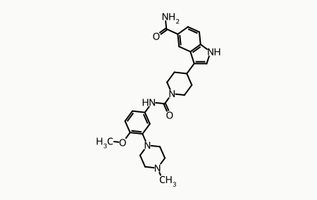 COc1ccc(NC(=O)N2CCC(c3c[nH]c4ccc(C(N)=O)cc34)CC2)cc1N1CCN(C)CC1